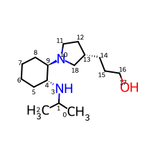 CC(C)N[C@@H]1CCCC[C@H]1N1CC[C@H](CCCO)C1